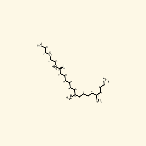 CCCCC(C)CCCCC(C)CCCCCCC(=O)NCCOCCO